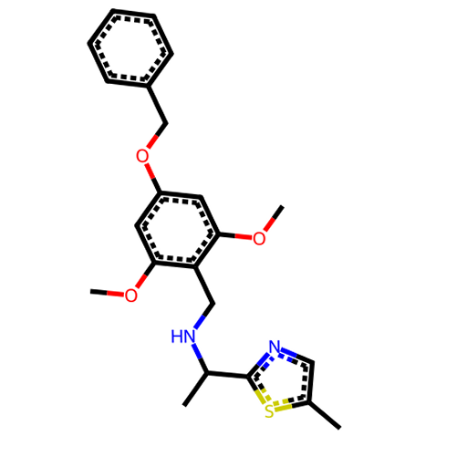 COc1cc(OCc2ccccc2)cc(OC)c1CNC(C)c1ncc(C)s1